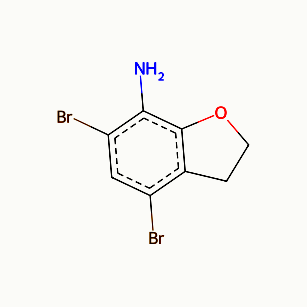 Nc1c(Br)cc(Br)c2c1OCC2